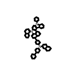 C1=CC2c3cc(N(c4cccc5ccccc45)c4ccc(-c5ccc(N(c6ccc(-c7ccccc7)cc6)c6ccc7ccccc7c6)cc5)c5ccccc45)ccc3N(c3ccccc3)C2C=C1